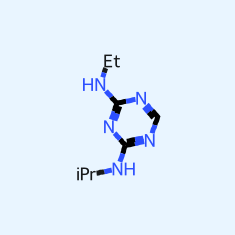 CCNc1ncnc(NC(C)C)n1